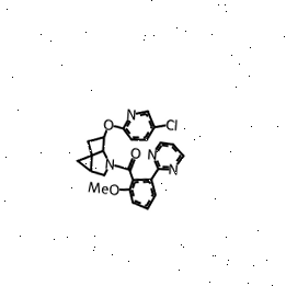 COc1cccc(-c2ncccn2)c1C(=O)N1CC2CC23CC(Oc2ccc(Cl)cn2)C13